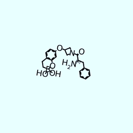 N[C@H](Cc1ccccc1)C(=O)N1CC(Oc2ccc3c(c2)O[B-](O)(O)CC3)C1